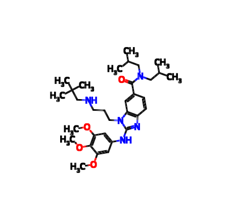 COc1cc(Nc2nc3ccc(C(=O)N(CC(C)C)CC(C)C)cc3n2CCCNCC(C)(C)C)cc(OC)c1OC